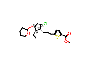 CC[C@@H]1[C@@H](CCCc2ccc(C(=O)OC)s2)[C@H](Cl)C[C@H]1OC1CCCCO1